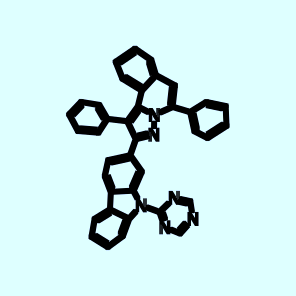 c1ccc(-c2c(-c3ccc4c5ccccc5n(-c5ncncn5)c4c3)nn3c(-c4ccccc4)cc4ccccc4c23)cc1